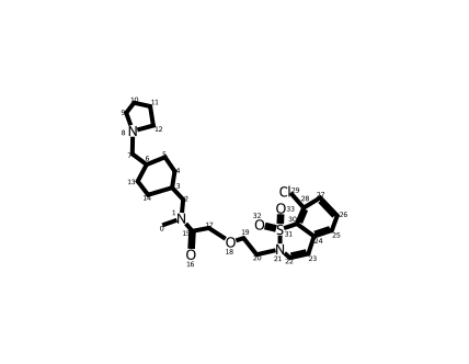 CN(CC1CCC(CN2CCCC2)CC1)C(=O)COCCN1C=Cc2cccc(Cl)c2S1(=O)=O